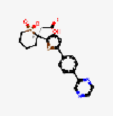 O=C(O)C[C@]1(c2ccc(-c3ccc(-c4cnccn4)cc3)s2)CCCCS1(=O)=O